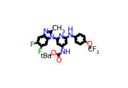 Cc1nc2cc(F)c(F)cc2n1-c1cc(NC(=O)OC(C)(C)C)cc(Nc2ccc(OC(F)(F)F)cc2)n1